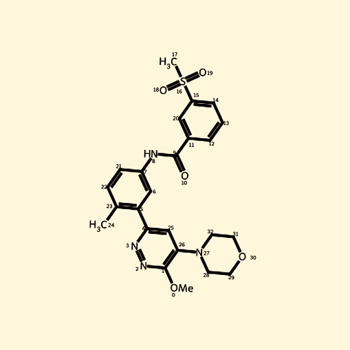 COc1nnc(-c2cc(NC(=O)c3cccc(S(C)(=O)=O)c3)ccc2C)cc1N1CCOCC1